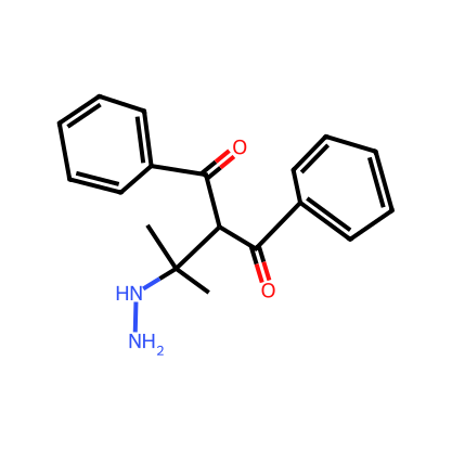 CC(C)(NN)C(C(=O)c1ccccc1)C(=O)c1ccccc1